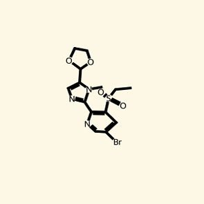 CCS(=O)(=O)c1cc(Br)cnc1-c1ncc(C2OCCO2)n1C